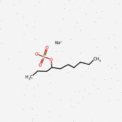 CCCCCCC(CCC)OS(=O)(=O)[O-].[Na+]